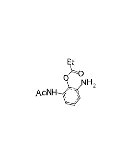 CCC(=O)Oc1c(N)cccc1NC(C)=O